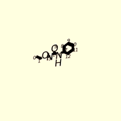 CCO[N]C(=O)Nc1ccccc1